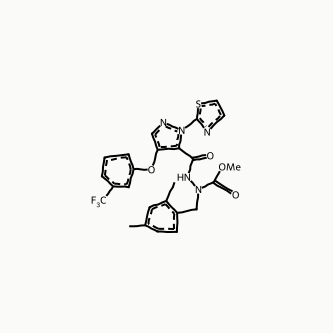 COC(=O)N(Cc1ccc(C)cc1C)NC(=O)c1c(Oc2cccc(C(F)(F)F)c2)cnn1-c1nccs1